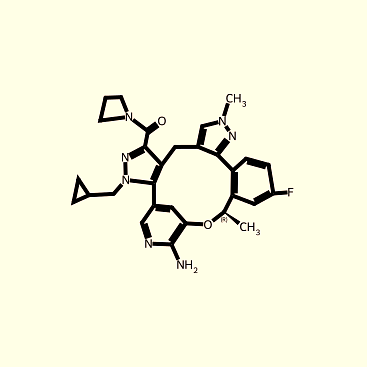 C[C@H]1Oc2cc(cnc2N)-c2c(c(C(=O)N3CCC3)nn2CC2CC2)Cc2cn(C)nc2-c2ccc(F)cc21